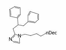 CCCCCCCCCCCCCCn1ccnc1CC(Cc1ccccc1)c1ccccc1